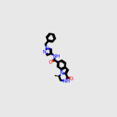 C[C@@H]1CNC(=O)c2cc3ccc(C(=O)Nc4cnn(Cc5ccccc5)c4)cc3n21